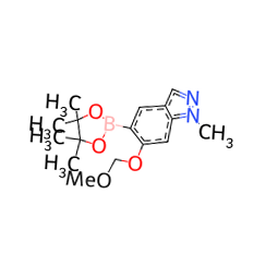 COCOc1cc2c(cnn2C)cc1B1OC(C)(C)C(C)(C)O1